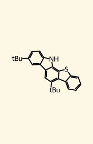 CC(C)(C)c1ccc2[nH]c3c(cc(C(C)(C)C)c4c5ccccc5sc34)c2c1